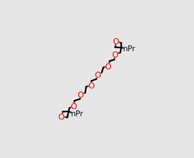 CCCC1(COCCOCCOCCOCCOCCOCC2(CCC)COC2)COC1